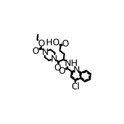 CCOC(=O)N1CCN(C(=O)C(CCC(=O)O)NC(=O)c2cc(Cl)c3ccccc3n2)CC1